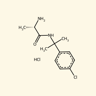 C[C@H](N)C(=O)NC(C)(C)c1ccc(Cl)cc1.Cl